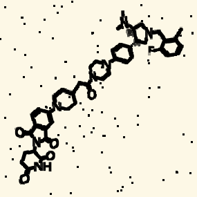 Cc1cccc(F)c1CN1C[C@H](c2ccc(N3CCN(C(=O)CC4CCN(c5ccc6c(c5)C(=O)N(C5CCC(=O)NC5=O)C6=O)CC4)CC3)cc2)[C@@H](N(C)C)C1